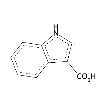 O=C(O)c1[c][nH]c2ccccc12